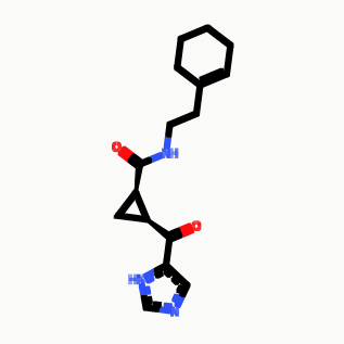 O=C(c1cnc[nH]1)[C@H]1C[C@H]1C(=O)NCCC1=CCCCC1